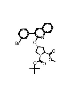 COC(=O)[C@@H]1C[C@@H](Oc2nc3ccccc3cc2-c2cccc(Br)c2)CN1C(=O)OC(C)(C)C